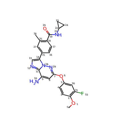 COc1ccc(Oc2cc(N)c3ncc(-c4ccc(C(=O)NC5CC5)c(C)c4)n3n2)cc1F